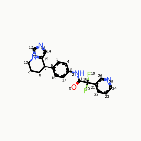 O=C(Nc1ccc([C@H]2CCCn3cncc32)cc1)C(F)(F)c1cccnc1